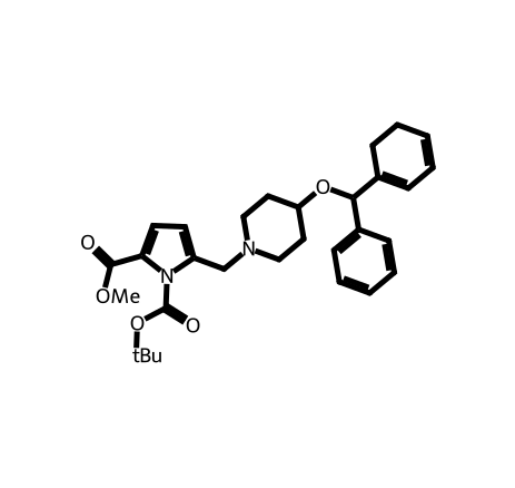 COC(=O)c1ccc(CN2CCC(OC(C3=CC=CCC3)c3ccccc3)CC2)n1C(=O)OC(C)(C)C